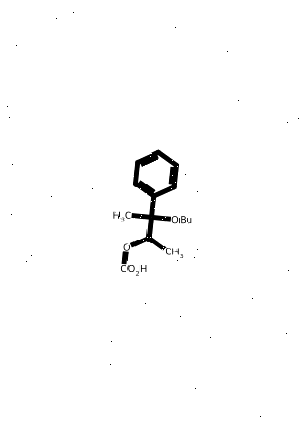 CC(C)COC(C)(c1ccccc1)C(C)OC(=O)O